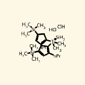 CCCC1=[C]([Ti]([CH3])([CH3])(=[SiH2])[C]2=C(CCC)C=C([Si](C)(C)C)C2)CC([Si](C)(C)C)=C1.Cl.Cl